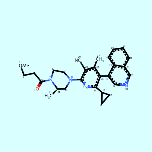 COCCC(=O)N1CCN(c2nc(C3CC3)c(-c3cncc4ccccc34)c(C)c2C#N)C[C@H]1C